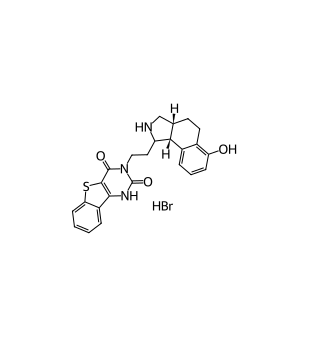 Br.O=c1[nH]c2c(sc3ccccc32)c(=O)n1CCC1NC[C@@H]2CCc3c(O)cccc3[C@H]12